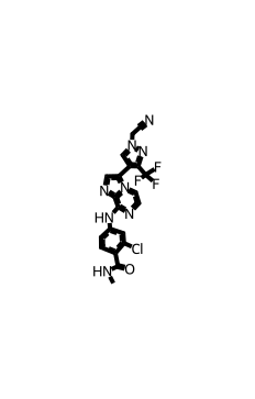 CNC(=O)c1ccc(Nc2nccn3c(-c4cn(CC#N)nc4C(F)(F)F)cnc23)cc1Cl